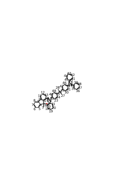 CCC1(C)c2ccccc2-c2cccc(N(c3ccccc3)c3ccc(C(C)(C)c4ccc(N(c5ccccc5)c5ccccc5)cc4)cc3)c21